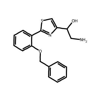 NCC(O)c1csc(-c2ccccc2OCc2ccccc2)n1